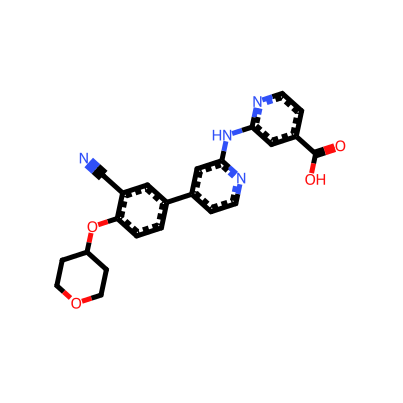 N#Cc1cc(-c2ccnc(Nc3cc(C(=O)O)ccn3)c2)ccc1OC1CCOCC1